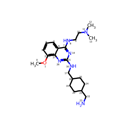 COc1cccc2c(NCCN(C)C)nc(NCC3CCC(CN)CC3)nc12